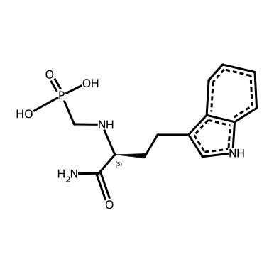 NC(=O)[C@H](CCc1c[nH]c2ccccc12)NCP(=O)(O)O